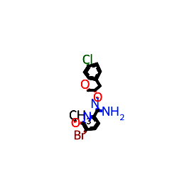 COc1nc(C(N)=NOC(C=O)Cc2ccc(Cl)cc2)ccc1Br